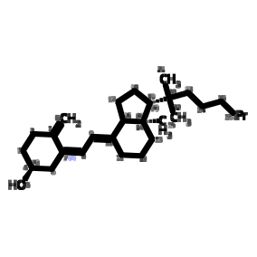 C=C1CC[C@H](O)C/C1=C/C=C1CCC[C@@]2(C)C1CC[C@@H]2C(C)(C)CCCC(C)C